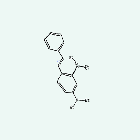 CCN(CC)c1ccc(/C=C/c2ccccc2)c(N(CC)CC)c1